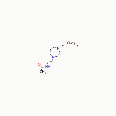 COCCN1CCCN(CCNC(C)=O)CC1